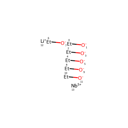 CC[O-].CC[O-].CC[O-].CC[O-].CC[O-].CC[O-].[Li+].[Nb+5]